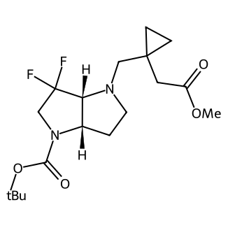 COC(=O)CC1(CN2CC[C@H]3[C@@H]2C(F)(F)CN3C(=O)OC(C)(C)C)CC1